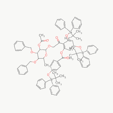 CC(=O)OC1C(OCC(=O)c2c(OC(=O)c3ccc(O[Si](c4ccccc4)(c4ccccc4)C(C)(C)C)cc3)cc(O[Si](c3ccccc3)(c3ccccc3)C(C)(C)C)cc2O[Si](c2ccccc2)(c2ccccc2)C(C)(C)C)OC(C)C(OCc2ccccc2)C1OCc1ccccc1